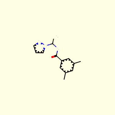 Cc1cc(C)cc(C(=O)NC(C#N)n2cccn2)c1